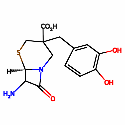 NC1C(=O)N2CC(Cc3ccc(O)c(O)c3)(C(=O)O)CS[C@H]12